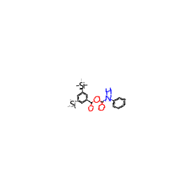 C[Si](C)(C)c1cc(C(=O)OC(=O)Nc2ccccc2)cc([Si](C)(C)C)c1